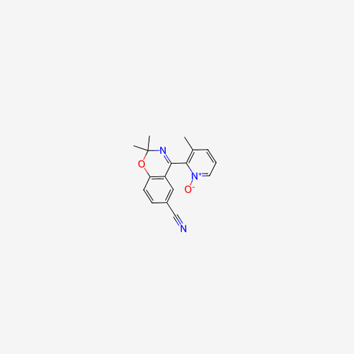 Cc1ccc[n+]([O-])c1C1=NC(C)(C)Oc2ccc(C#N)cc21